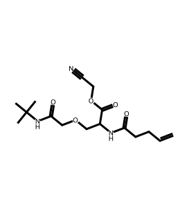 C=CCCC(=O)NC(COCC(=O)NC(C)(C)C)C(=O)OCC#N